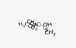 CSC[C@@H](O)C1CCN(C(=O)OC(C)(C)C)C1